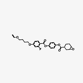 C=COCCCCOc1ccc(C(=O)Oc2ccc(OC(=O)C3CCC4OC4C3)cc2)c(F)c1